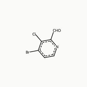 O=Cc1nccc(Br)c1Cl